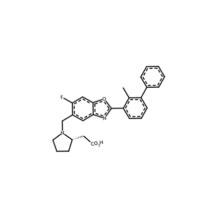 Cc1c(-c2ccccc2)cccc1-c1nc2cc(CN3CCC[C@H]3CC(=O)O)c(F)cc2o1